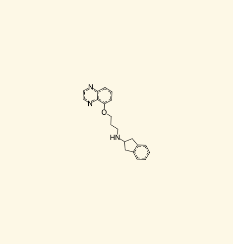 c1ccc2c(c1)CC(NCCCOc1cccc3nccnc13)C2